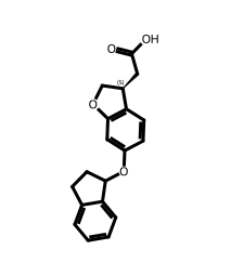 O=C(O)C[C@@H]1COc2cc(OC3CCc4ccccc43)ccc21